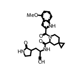 C#CC(CC1CCNC1=O)NC(=O)C1CC2(CCN1C(=O)c1cc3c(OC)cccc3[nH]1)CC2